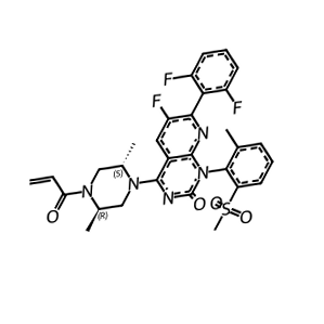 C=CC(=O)N1C[C@H](C)N(c2nc(=O)n(-c3c(C)cccc3S(C)(=O)=O)c3nc(-c4c(F)cccc4F)c(F)cc23)C[C@H]1C